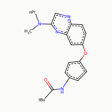 CCCN(C)c1cnc2ccc(Oc3ccc(NC(=O)C(C)(C)C)cc3)cc2n1